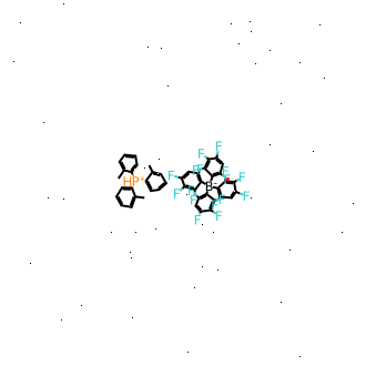 Cc1ccccc1[PH+](c1ccccc1C)c1ccccc1C.Fc1cc(F)c([B-](c2c(F)cc(F)c(F)c2F)(c2c(F)cc(F)c(F)c2F)c2c(F)cc(F)c(F)c2F)c(F)c1F